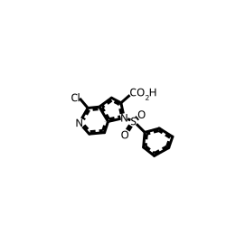 O=C(O)c1cc2c(Cl)nccc2n1S(=O)(=O)c1ccccc1